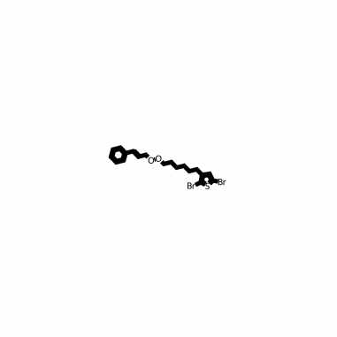 Brc1cc(CCCCCCOOC/C=C/c2ccccc2)c(Br)s1